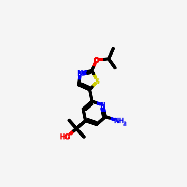 CC(C)Oc1ncc(-c2cc(C(C)(C)O)cc(N)n2)s1